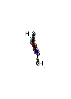 CCCCCCCCCCOc1cnc(-c2ccc(C(=O)Oc3ccc(C(=O)O[C@H](CCCCCCCC)C(F)(F)F)cc3)cc2)nc1